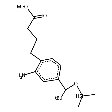 COC(=O)CCCc1ccc(C(O[SiH](C)C)C(C)(C)C)cc1N